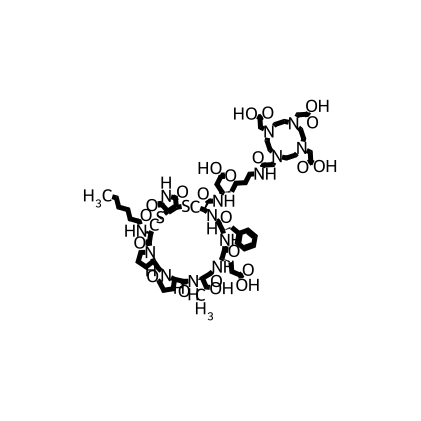 CCCCCC(=O)N[C@H]1CSC2=C(SC[C@@H](C(=O)N[C@@H](CCCCNC(=O)CN3CCN(CC(=O)O)CCN(CC(=O)O)CCN(CC(=O)O)CC3)CC(=O)O)NC(=O)[C@H](Cc3ccccc3)NC(=O)[C@H](CCC(=O)O)NC(=O)[C@H]([C@@H](C)O)NC(=O)[C@@H]3CCCN3C(=O)[C@@H]3CCCN3C1=O)C(=O)NC2=O